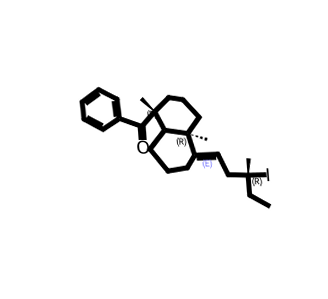 CC[C@@](C)(I)C/C=C1\CCCC2[C@](C)(C(=O)c3ccccc3)CCC[C@@]12C